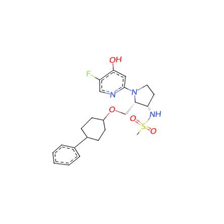 CS(=O)(=O)N[C@H]1CCN(c2cc(O)c(F)cn2)[C@H]1COC1CCC(c2ccccc2)CC1